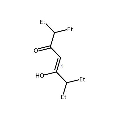 CCC(CC)C(=O)/C=C(\O)C(CC)CC